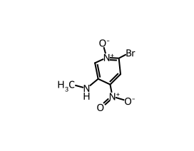 CNc1c[n+]([O-])c(Br)cc1[N+](=O)[O-]